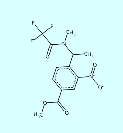 COC(=O)c1ccc(C(C)N(C)C(=O)C(F)(F)F)c([N+](=O)[O-])c1